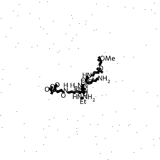 CCC(N)NC(CCCCNC(=O)CCC1=C(C)C(=O)OC1=O)C(=O)C(C)(CC)C(N)(CC)NC(CCCCN)C(=O)C(C)(CC)NCCCC(C)(C)OCCC(C)(C)OC